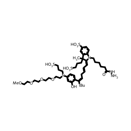 COCCOCCOCCOCCN(CCCS(=O)(=O)O)c1ccc(/C(=C\C/C=C/C=C2/N(CCCCCC(=O)NN)c3ccc(S(=O)(=O)O)cc3C2(C)CCCS(=O)(=O)O)C(C)(C)C)c(O)c1